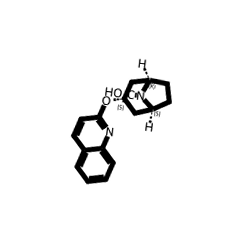 O=C(O)N1[C@@H]2CC[C@H]1C[C@H](Oc1ccc3ccccc3n1)C2